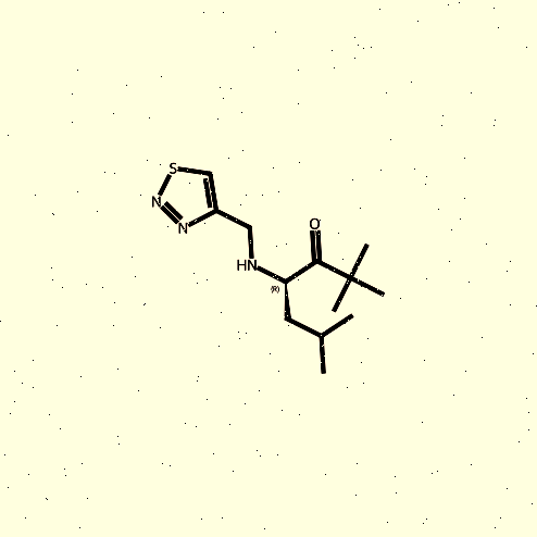 CC(C)C[C@@H](NCc1csnn1)C(=O)C(C)(C)C